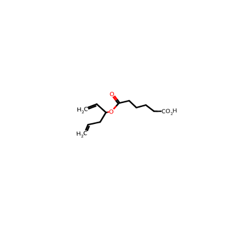 C=CCC(C=C)OC(=O)CCCCC(=O)O